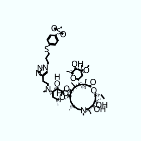 CC[C@H]1OC(=O)[C@H](C)[C@@H](C2C[C@@](C)(OC)[C@@H](O)[C@H](C)O2)[C@H](C)[C@@H](O[C@@H]2O[C@H](C)C[C@H](N(C)CCc3cn(CCCSc4ccc(S(C)(=O)=O)cc4)nn3)[C@H]2O)[C@](C)(O)C[C@@H](C)CN(C)[C@H](C)[C@@H](O)[C@]1(C)O